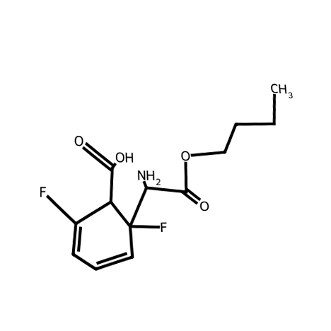 CCCCOC(=O)C(N)C1(F)C=CC=C(F)C1C(=O)O